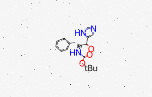 CC(C)(C)OC(=O)N[C@H](Cc1ccccc1)C(=O)c1cnc[nH]1